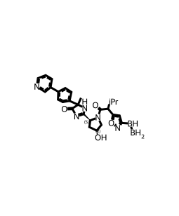 BBc1cc(C(C(=O)N2C[C@H](O)C[C@H]2C2=NC(=O)C(C)(c3ccc(-c4cccnc4)cc3)N2)C(C)C)on1